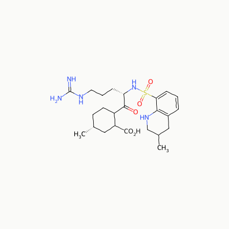 CC1CNc2c(cccc2S(=O)(=O)N[C@@H](CCCNC(=N)N)C(=O)C2CC[C@@H](C)CC2C(=O)O)C1